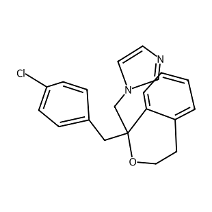 Clc1ccc(CC2(Cn3ccnc3)OCCc3ccccc32)cc1